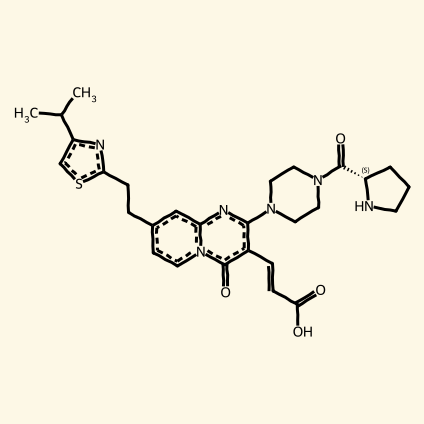 CC(C)c1csc(CCc2ccn3c(=O)c(C=CC(=O)O)c(N4CCN(C(=O)[C@@H]5CCCN5)CC4)nc3c2)n1